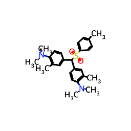 Cc1ccc(S(=O)(=O)C(c2ccc(N(C)C)c(C)c2)c2ccc(N(C)C)c(C)c2)cc1